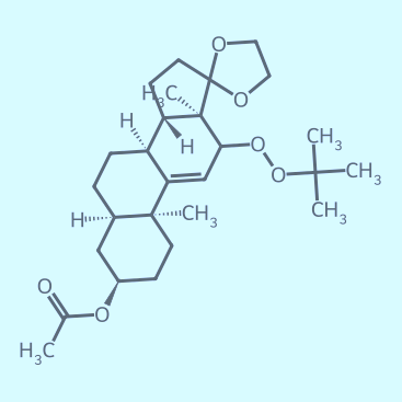 CC(=O)O[C@@H]1CC[C@]2(C)C3=CC(OOC(C)(C)C)[C@@]4(C)[C@@H](CCC45OCCO5)[C@@H]3CC[C@@H]2C1